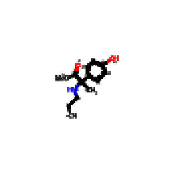 COC(=O)C(C)(NCCC#N)c1ccc(O)cc1